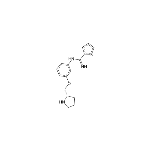 N=C(Nc1cccc(OC[C@@H]2CCCN2)c1)c1cccs1